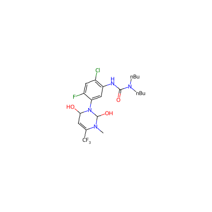 CCCCN(CCCC)C(=O)Nc1cc(N2C(O)C=C(C(F)(F)F)N(C)C2O)c(F)cc1Cl